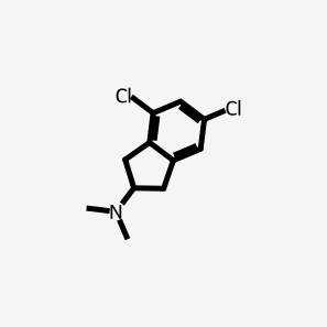 CN(C)C1Cc2cc(Cl)cc(Cl)c2C1